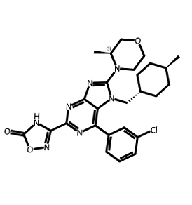 C[C@H]1COCCN1c1nc2nc(-c3noc(=O)[nH]3)nc(-c3cccc(Cl)c3)c2n1C[C@H]1CC[C@H](C)CC1